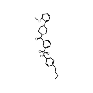 CCCCc1ccc(NS(=O)(=O)c2cccc(C(=O)N3CCN(c4ccccc4OC)CC3)c2)cc1